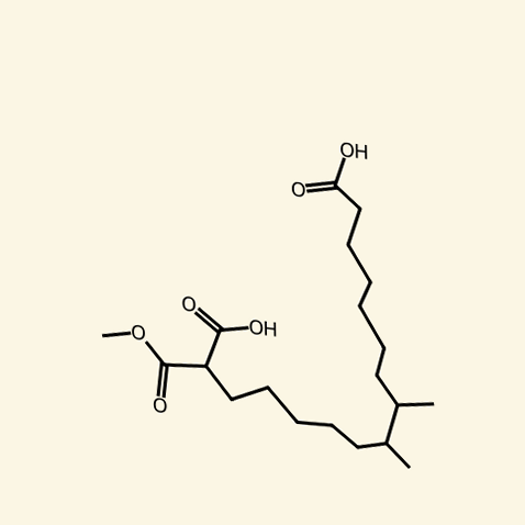 COC(=O)C(CCCCCC(C)C(C)CCCCCCC(=O)O)C(=O)O